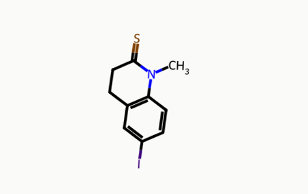 CN1C(=S)CCc2cc(I)ccc21